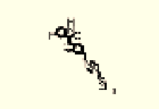 COCCN1CCN(CCc2ccc3c(c2)COC3=C2C(=O)Nc3ccc(F)cc32)CC1